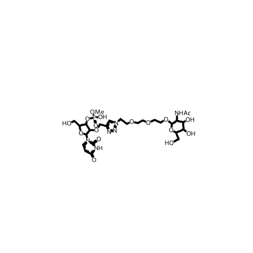 COP(=O)(O)OC1C(CO)OC(n2ccc(=O)[nH]c2=O)C1OCc1cn(CCOCCOCCOC2OC(CO)C(O)C(O)C2NC(C)=O)nn1